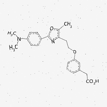 Cc1oc(-c2ccc(N(C)C)cc2)nc1CCOc1cccc(CC(=O)O)c1